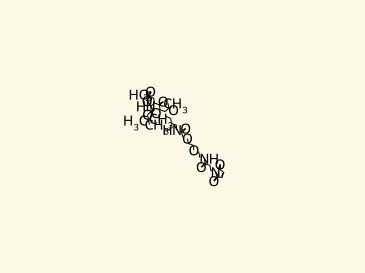 CC(=O)[C@H](CCCCNC(=O)COCCOCCNC(=O)CCN1C(=O)C=CC1=O)CC(=O)C(CS(=O)(=O)O)NC(=O)OC(C)(C)C